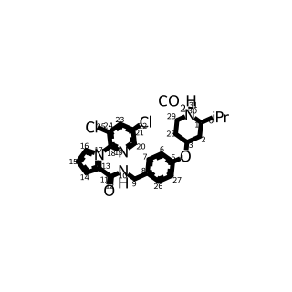 CC(C)C1CC(Oc2ccc(CNC(=O)c3cccn3-c3ncc(Cl)cc3Cl)cc2)CCN1C(=O)O